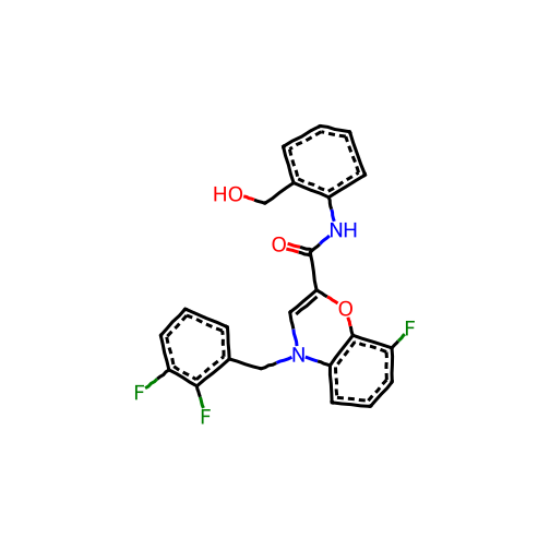 O=C(Nc1ccccc1CO)C1=CN(Cc2cccc(F)c2F)c2cccc(F)c2O1